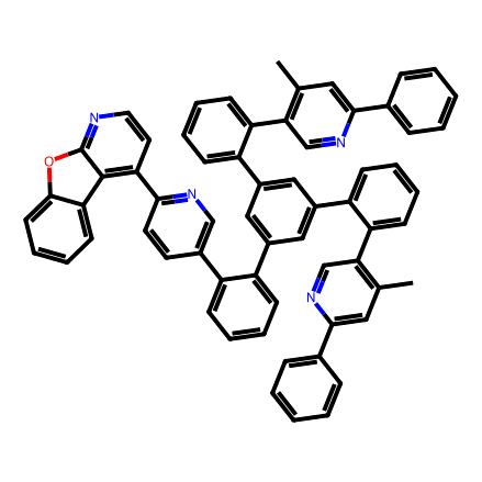 Cc1cc(-c2ccccc2)ncc1-c1ccccc1-c1cc(-c2ccccc2-c2ccc(-c3ccnc4oc5ccccc5c34)nc2)cc(-c2ccccc2-c2cnc(-c3ccccc3)cc2C)c1